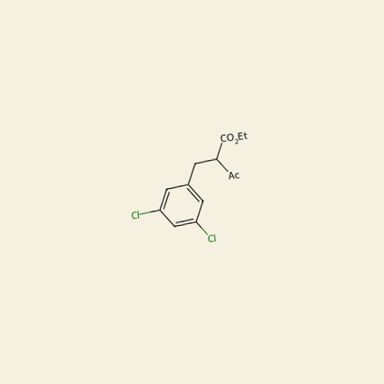 CCOC(=O)C(Cc1cc(Cl)cc(Cl)c1)C(C)=O